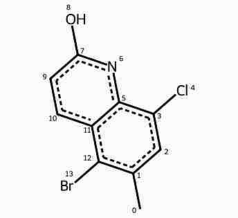 Cc1cc(Cl)c2nc(O)ccc2c1Br